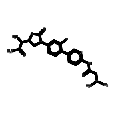 CC(C(N)=O)C1CN(c2ccc(-c3ccc(NC(=O)CN(C)C)nc3)c(F)c2)C(=O)O1